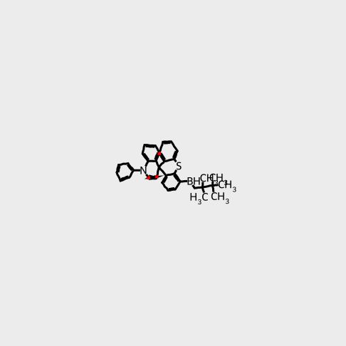 CC(C)(C)C(C)(C)CBc1cccc2c1Sc1ccccc1C21c2ccccc2N(c2ccccc2)c2ccccc21